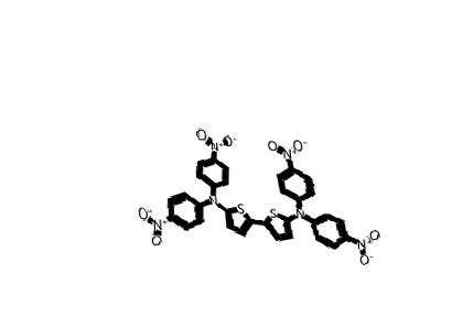 O=[N+]([O-])c1ccc(N(c2ccc([N+](=O)[O-])cc2)c2ccc(-c3ccc(N(c4ccc([N+](=O)[O-])cc4)c4ccc([N+](=O)[O-])cc4)s3)s2)cc1